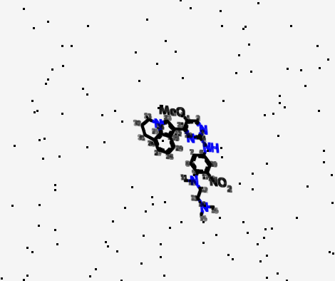 COc1cnc(Nc2ccc(N(C)CCN(C)C)c([N+](=O)[O-])c2)nc1-c1cn2c3c(cccc13)CCC2